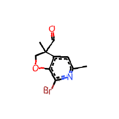 Cc1cc2c(c(Br)n1)OCC2(C)C=O